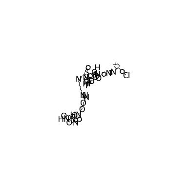 Cc1nc2cccc(NCCOCCOCc3cn(CCCCCCCN(C)CC[C@H](CSc4ccccc4)Nc4ccc(S(=O)(=O)NC(=O)c5ccc(N6CCN(CC7=C(c8ccc(Cl)cc8)CCC(C)(C)C7)CC6)cc5)cc4S(=O)(=O)C(F)(F)F)nn3)c2c(=O)n1C1CCC(=O)NC1=O